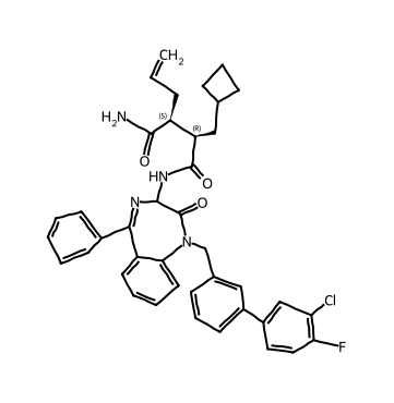 C=CC[C@H](C(N)=O)[C@@H](CC1CCC1)C(=O)NC1N=C(c2ccccc2)c2ccccc2N(Cc2cccc(-c3ccc(F)c(Cl)c3)c2)C1=O